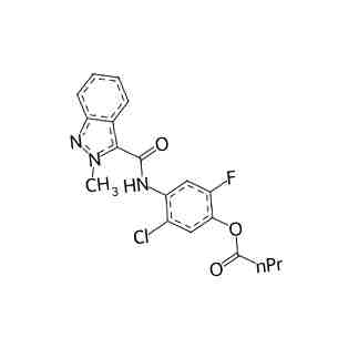 CCCC(=O)Oc1cc(Cl)c(NC(=O)c2c3ccccc3nn2C)cc1F